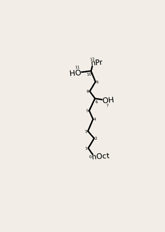 CCCCCCCCCCCCCC(O)CCC(O)CCC